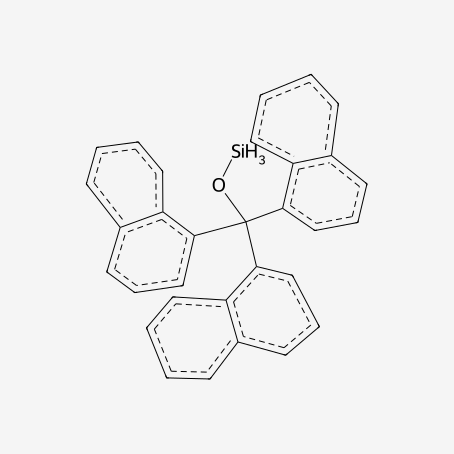 [SiH3]OC(c1cccc2ccccc12)(c1cccc2ccccc12)c1cccc2ccccc12